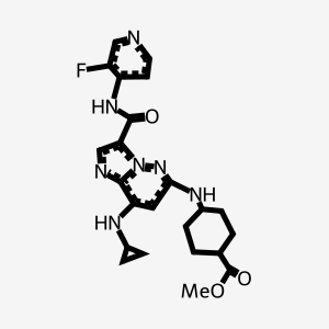 COC(=O)C1CCC(Nc2cc(NC3CC3)c3ncc(C(=O)Nc4ccncc4F)n3n2)CC1